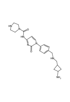 NC1CC(CNCc2ccc(-n3ccc(NC(=O)N4CCNCC4)nc3=O)cc2)C1